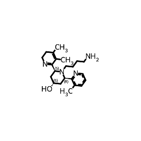 CC1=C(C)C([C@@H]2C[C@@H](O)C[C@H](c3ncccc3C)N2CCCCN)=NCC1